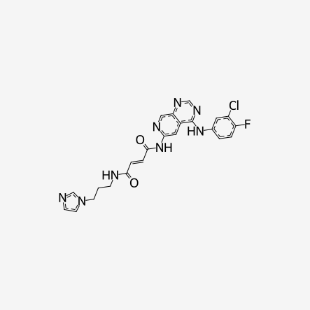 O=C(C=CC(=O)Nc1cc2c(Nc3ccc(F)c(Cl)c3)ncnc2cn1)NCCCn1ccnc1